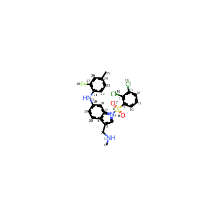 CNCc1cn(S(=O)(=O)c2cccc(Cl)c2Cl)c2cc(Nc3ccc(C)cc3F)ccc12